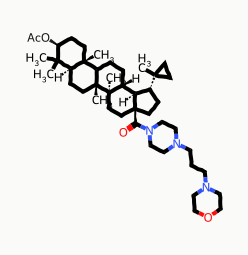 CC(=O)O[C@H]1CC[C@]2(C)C3CC[C@@H]4[C@H]5[C@H](C6(C)CC6)CC[C@]5(C(=O)N5CCN(CCCN6CCOCC6)CC5)CC[C@@]4(C)[C@]3(C)CC[C@H]2C1(C)C